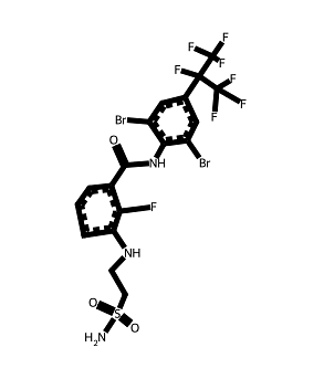 NS(=O)(=O)CCNc1cccc(C(=O)Nc2c(Br)cc(C(F)(C(F)(F)F)C(F)(F)F)cc2Br)c1F